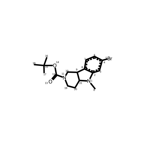 CN1c2cc(Br)ccc2C2CN(C(=O)OC(C)(C)C)CCC21